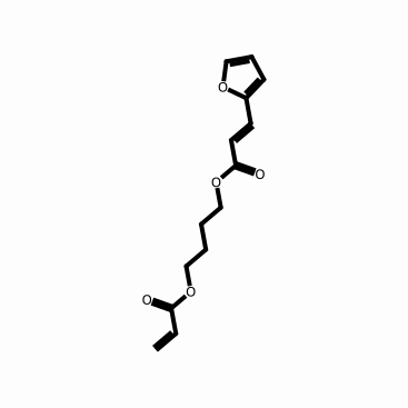 C=CC(=O)OCCCCOC(=O)C=Cc1ccco1